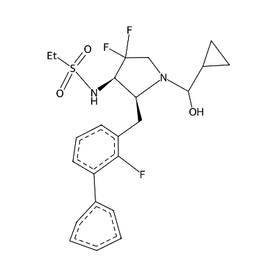 CCS(=O)(=O)N[C@@H]1[C@H](Cc2cccc(-c3ccccc3)c2F)N(C(O)C2CC2)CC1(F)F